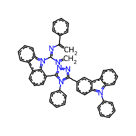 C=N/C(=N\C(=C)c1ccccc1)n1c2ccccc2c2cccc(-c3nnc(-c4ccc5c(c4)c4ccccc4n5-c4ccccc4)n3-c3ccccc3)c21